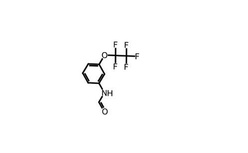 O=CNc1cccc(OC(F)(F)C(F)(F)F)c1